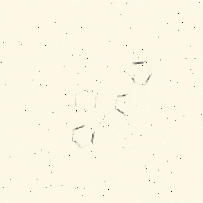 Cc1oc(-c2ccc(C(F)(F)F)cn2)cc1C(Nc1ccc(C(=O)O)cc1)C1CCCCC1